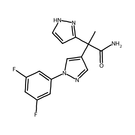 CC(C(N)=O)(c1cnn(-c2cc(F)cc(F)c2)c1)c1cc[nH]n1